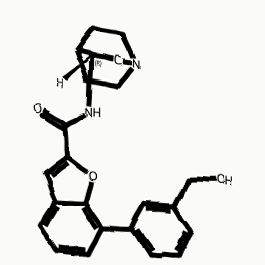 O=C(N[C@H]1CN2CCC1CC2)c1cc2cccc(-c3cccc(CO)c3)c2o1